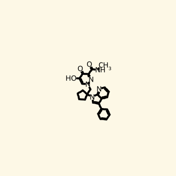 CNC(=O)c1nn(CC2(n3cc(-c4ccccc4)c4cccnc43)CCCC2)cc(O)c1=O